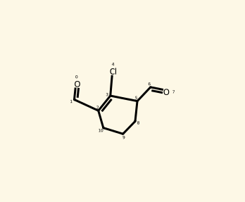 O=CC1=C(Cl)C(C=O)CCC1